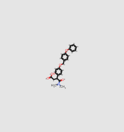 CN(C)C(=O)C(CC(=O)O)c1ccc(OCc2ccc(Oc3ccccc3)cc2)cc1